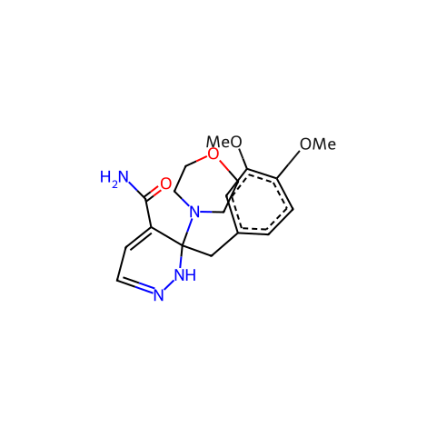 COc1ccc(CC2(N3CCOCC3)NN=CC=C2C(N)=O)cc1OC